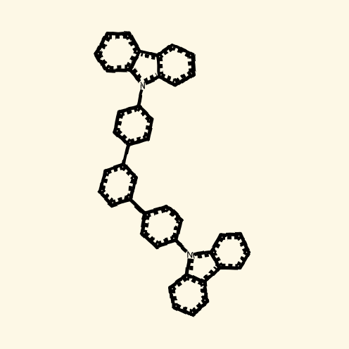 c1cc(-c2ccc(-n3c4ccccc4c4ccccc43)cc2)cc(-c2ccc(-n3c4ccccc4c4ccccc43)cc2)c1